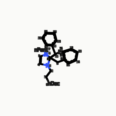 CCCCCCCCCCCCN1C=CN(CCCCC)C1(Cc1ccccc1)C(CC)c1ccccc1